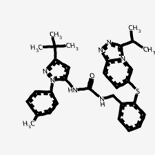 Cc1ccc(-n2nc(C(C)(C)C)cc2NC(=O)NCc2ccccc2Sc2ccc3nnc(C(C)C)n3c2)cc1